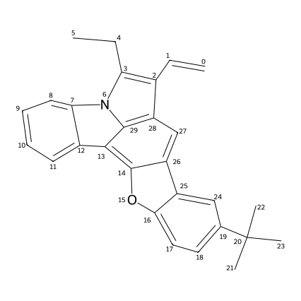 C=Cc1c(CC)n2c3ccccc3c3c4oc5ccc(C(C)(C)C)cc5c4cc1c32